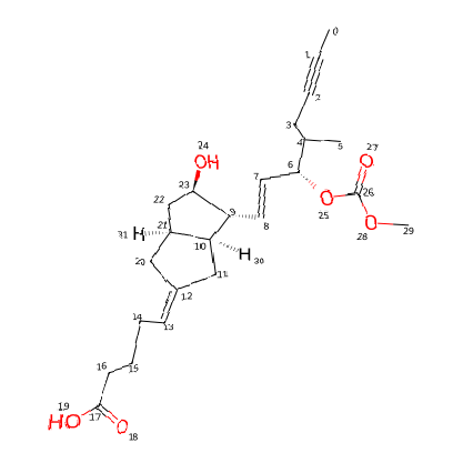 CC#CCC(C)[C@@H](/C=C/[C@@H]1[C@H]2C/C(=C/CCCC(=O)O)C[C@H]2C[C@H]1O)OC(=O)OC